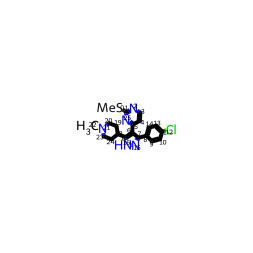 CSc1nccc(-c2c(-c3ccc(Cl)cc3)n[nH]c2C2CCN(C)CC2)n1